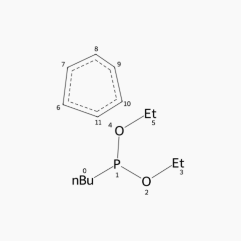 CCCCP(OCC)OCC.c1ccccc1